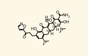 CN(C)c1cc(CCC(=O)c2ccno2)c(O)c2c1C[C@H]1C[C@H]3[C@@H](N(C)C)C(O)=C(C(N)=O)C(=O)[C@@]3(O)C(O)=C1C2=O